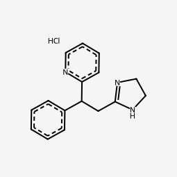 Cl.c1ccc(C(CC2=NCCN2)c2ccccn2)cc1